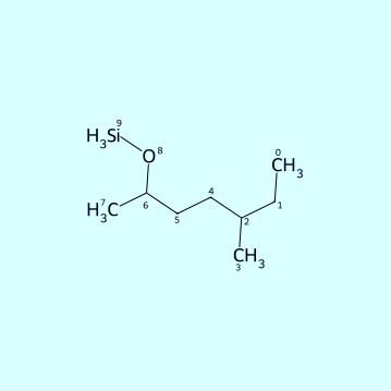 CCC(C)CCC(C)O[SiH3]